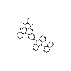 Fc1c(F)c(F)c(N(c2ccccc2)c2ccc(-c3c4ccccc4c(-c4cccc5ccccc45)c4ccccc34)cc2)c(F)c1F